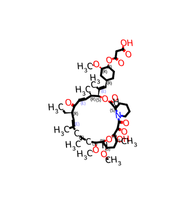 CC[C@@H]1/C=C(\C)C[C@H](C)C[C@H](OC)[C@H]2O[C@@](O)(C(=O)C(=O)N3CCCC[C@H]3C(=O)O[C@H](/C(C)=C/[C@@H]3CC[C@@H](OC(=O)CC(=O)O)[C@H](OC)C3)[C@H](C)/C=C/C1=O)[C@H](C)C[C@@H]2OC